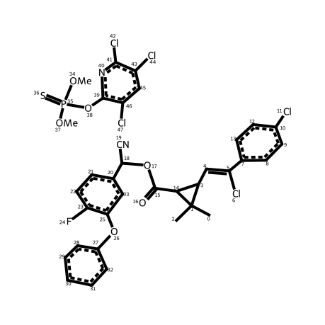 CC1(C)C(/C=C(\Cl)c2ccc(Cl)cc2)C1C(=O)OC(C#N)c1ccc(F)c(Oc2ccccc2)c1.COP(=S)(OC)Oc1nc(Cl)c(Cl)cc1Cl